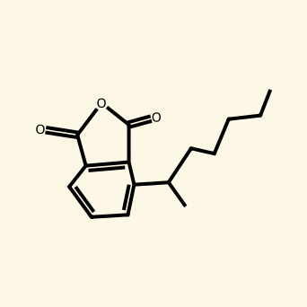 CCCCCC(C)c1cccc2c1C(=O)OC2=O